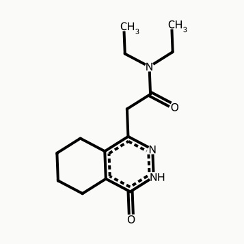 CCN(CC)C(=O)Cc1n[nH]c(=O)c2c1CCCC2